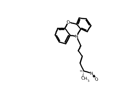 C[C@H](CCCCN1c2ccccc2Oc2ccccc21)N=O